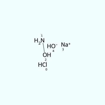 Cl.NO.[Na+].[OH-]